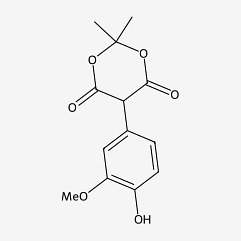 COc1cc(C2C(=O)OC(C)(C)OC2=O)ccc1O